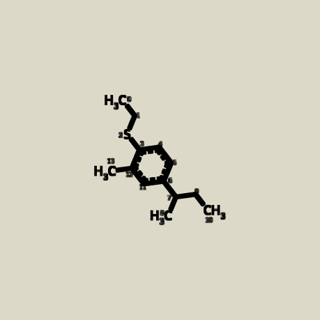 CCSc1ccc(C(C)CC)cc1C